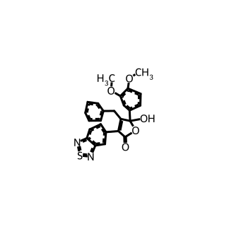 COc1ccc(C2(O)OC(=O)C(c3ccc4nsnc4c3)=C2Cc2ccccc2)cc1OC